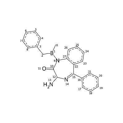 CB(Cc1ccccc1)N1C(=O)C(N)N=C(c2ccccc2)c2ccccc21